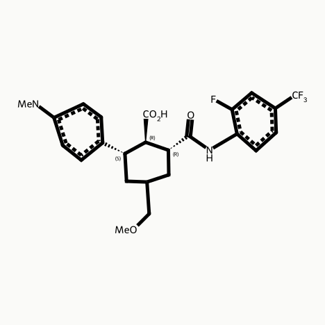 CNc1ccc([C@H]2CC(COC)C[C@@H](C(=O)Nc3ccc(C(F)(F)F)cc3F)[C@@H]2C(=O)O)cc1